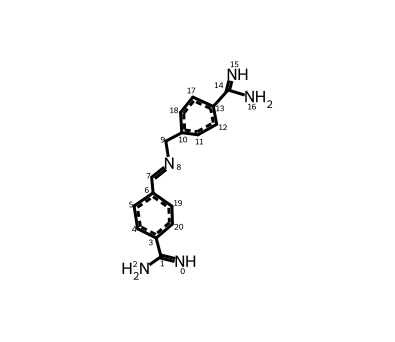 N=C(N)c1ccc(/C=N/Cc2ccc(C(=N)N)cc2)cc1